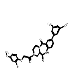 O=C1Nc2ccc(-c3cc(Cl)cc(C(F)(F)F)c3)cc2C(=O)N2CCN(C(=O)COc3ccc(OC(F)(F)F)cc3Br)CC12